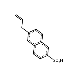 C=CCc1ccc2cc(S(=O)(=O)O)ccc2c1